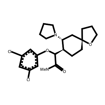 CNC(=O)C(Oc1cc(Cl)cc(Cl)c1)[C@@H]1CC[C@]2(CCCO2)C[C@H]1N1CCCC1